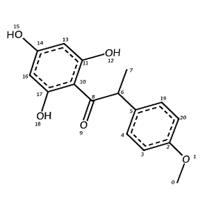 COc1ccc(C(C)C(=O)c2c(O)cc(O)cc2O)cc1